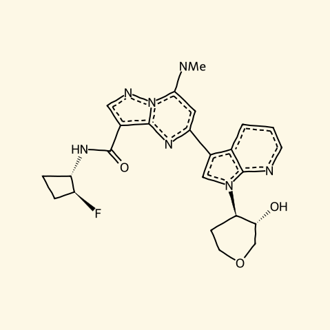 CNc1cc(-c2cn([C@@H]3CCOC[C@H]3O)c3ncccc23)nc2c(C(=O)N[C@H]3CC[C@@H]3F)cnn12